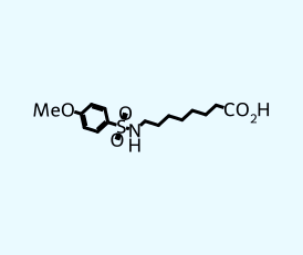 COc1ccc(S(=O)(=O)NCCCCCCCC(=O)O)cc1